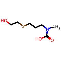 CN(CCCSCCO)C(=O)O